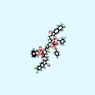 O=C1C(=Cc2cc3c(s2)-c2sc4c5c(sc4c2OC3(C(=O)OCc2ccccc2)C(=O)OCc2ccccc2)-c2sc(C=C3C(=O)c4cc6cc(F)c(F)cc6cc4C3=O)cc2C(C(=O)OCc2ccccc2)(C(=O)OCc2ccccc2)O5)C(=O)c2cc3cc(F)c(F)cc3cc21